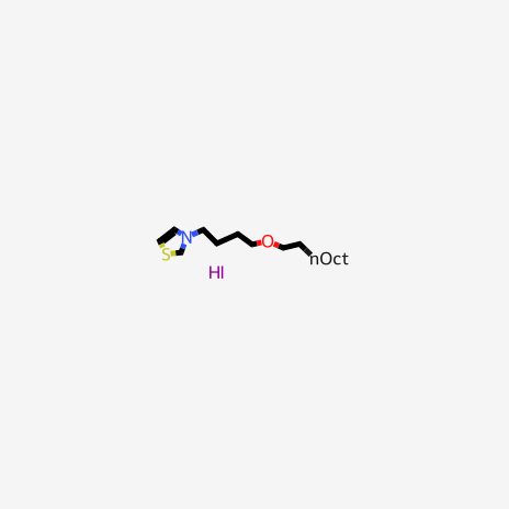 CCCCCCCCCCOCCCCN1C=CSC1.I